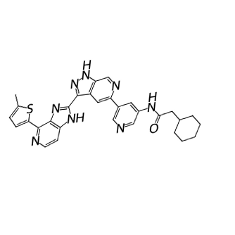 Cc1ccc(-c2nccc3[nH]c(-c4n[nH]c5cnc(-c6cncc(NC(=O)CC7CCCCC7)c6)cc45)nc23)s1